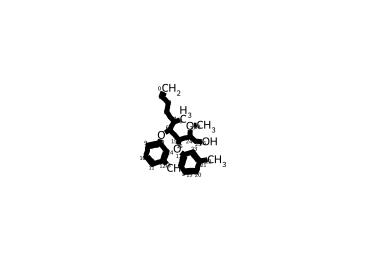 C=CCCC(C)C(Oc1cccc(C)c1)C(Oc1cccc(C)c1)C(CO)OC